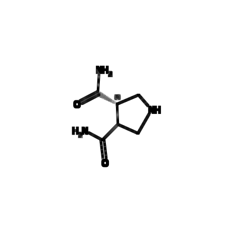 NC(=O)C1CNC[C@H]1C(N)=O